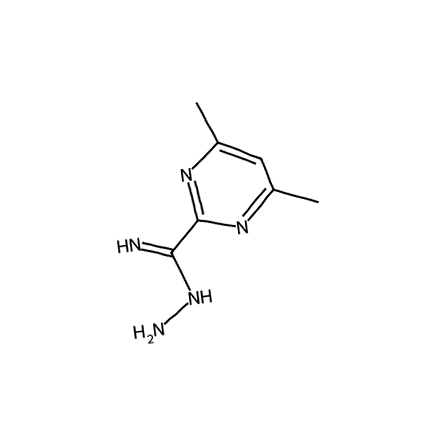 Cc1cc(C)nc(C(=N)NN)n1